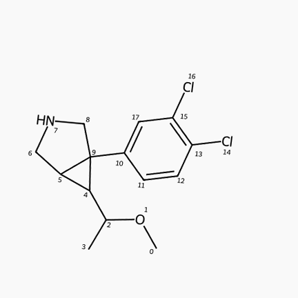 COC(C)C1C2CNCC21c1ccc(Cl)c(Cl)c1